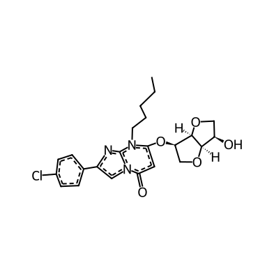 CCCCCn1c(O[C@@H]2CO[C@H]3[C@@H]2OC[C@H]3O)cc(=O)n2cc(-c3ccc(Cl)cc3)nc12